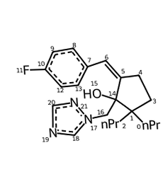 CCCC1(CCC)CCC(=Cc2ccc(F)cc2)C1(O)Cn1cncn1